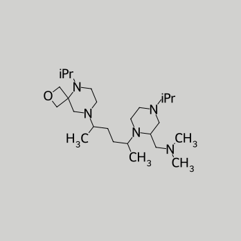 CC(C)N1CCN(C(C)CCC(C)N2CCN(C(C)C)C3(COC3)C2)C(CN(C)C)C1